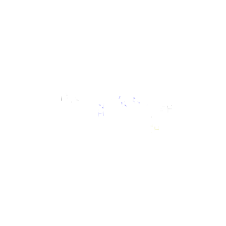 C=CN/C=N/N=C(/C)S